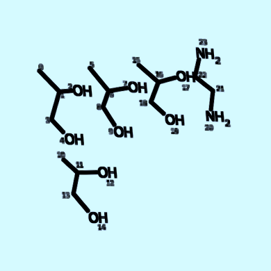 CC(O)CO.CC(O)CO.CC(O)CO.CC(O)CO.NCCN